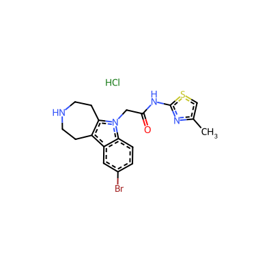 Cc1csc(NC(=O)Cn2c3c(c4cc(Br)ccc42)CCNCC3)n1.Cl